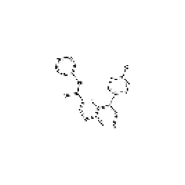 O=C(Nc1ccccc1)c1ccc2cncc(-c3ccc(Cl)cc3)c2c1